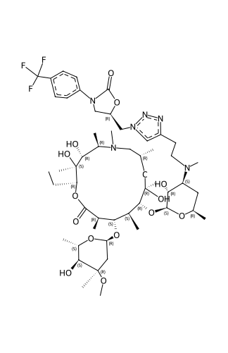 CC[C@H]1OC(=O)[C@H](C)[C@@H](O[C@H]2C[C@@](C)(OC)[C@@H](O)[C@H](C)O2)[C@H](C)[C@@H](O[C@@H]2O[C@H](C)C[C@H](N(C)CCc3cn(C[C@H]4CN(c5ccc(C(F)(F)F)cc5)C(=O)O4)nn3)[C@H]2O)[C@](C)(O)C[C@@H](C)CN(C)[C@H](C)[C@@H](O)[C@]1(C)O